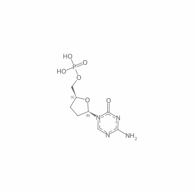 Nc1ncn([C@H]2CC[C@@H](COP(=O)(O)O)O2)c(=O)n1